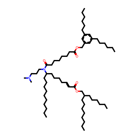 CCCCCCCCCCC(CCCCC=CC(=O)OCC(CCCCCC)CCCCCCCC)N(CCCN(C)C)C(=O)CCCCCCC(=O)OCc1cc(CCCCCC)cc(CCCCCC)c1